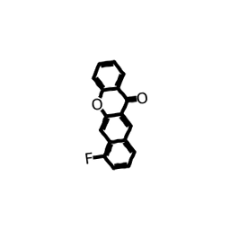 O=c1c2ccccc2oc2cc3c(F)cccc3cc12